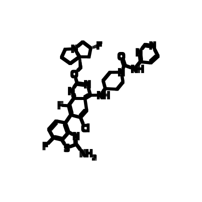 Nc1nc2c(-c3c(Cl)cc4c(NC5CCN(C(=O)Nc6ccncn6)CC5)nc(OC[C@@]56CCCN5C[C@H](F)C6)nc4c3F)ccc(F)c2s1